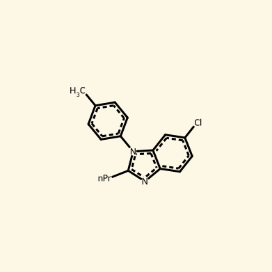 CCCc1nc2ccc(Cl)cc2n1-c1ccc(C)cc1